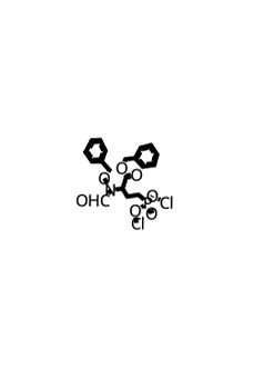 O=CN(OCc1ccccc1)C(CCP(=O)(OCl)OCl)C(=O)OCc1ccccc1